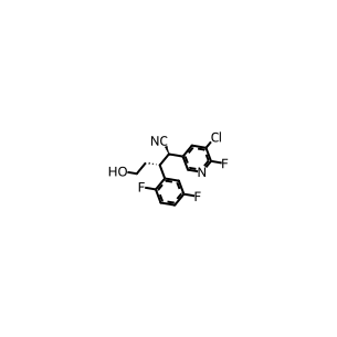 N#C[C@@H](c1cnc(F)c(Cl)c1)[C@@H](CCO)c1cc(F)ccc1F